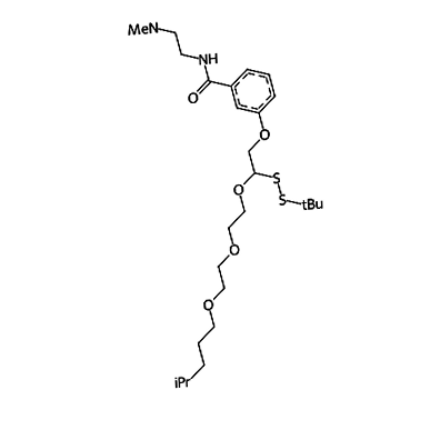 CNCCNC(=O)c1cccc(OCC(OCCOCCOCCCC(C)C)SSC(C)(C)C)c1